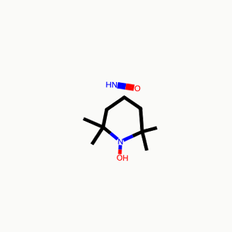 CC1(C)CCCC(C)(C)N1O.N=O